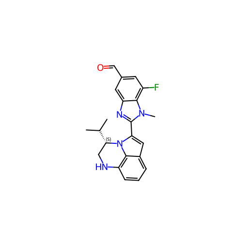 CC(C)[C@H]1CNc2cccc3cc(-c4nc5cc(C=O)cc(F)c5n4C)n1c23